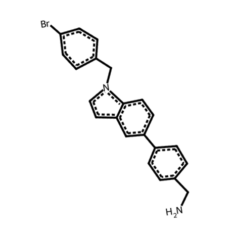 NCc1ccc(-c2ccc3c(ccn3Cc3ccc(Br)cc3)c2)cc1